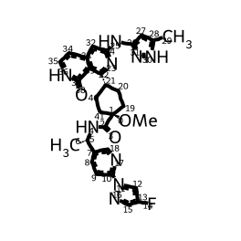 CO[C@]1(C(=O)N[C@@H](C)c2ccc(-n3cc(F)cn3)nc2)CC[C@@H](c2nc(Nc3cc(C)[nH]n3)cc3cc[nH]c(=O)c32)CC1